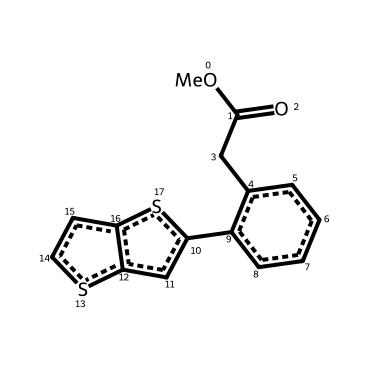 COC(=O)Cc1ccccc1-c1cc2sccc2s1